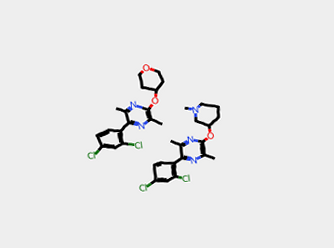 Cc1nc(-c2ccc(Cl)cc2Cl)c(C)nc1OC1CCCN(C)C1.Cc1nc(-c2ccc(Cl)cc2Cl)c(C)nc1OC1CCOCC1